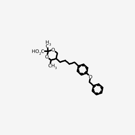 CC1OC(C)(C(=O)O)OCC1CCCCc1ccc(OCc2ccccc2)cc1